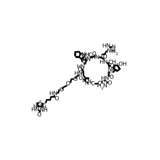 C[C@H]1NC(=O)[C@@H](Cc2c[nH]c3ccccc23)NC(=O)[C@@H](NC(=O)COCCOCCOCCNC(=O)CCCC[C@H]2SC[C@H]3NC(=O)N[C@H]32)Cc2cn(nn2)CCCC[C@@H](C(N)=O)NC(=O)[C@@H](Cc2ccc(O)cc2)NC(=O)[C@@H](C)NC(=O)[C@@H](CCCNC(=N)N)NC1=O